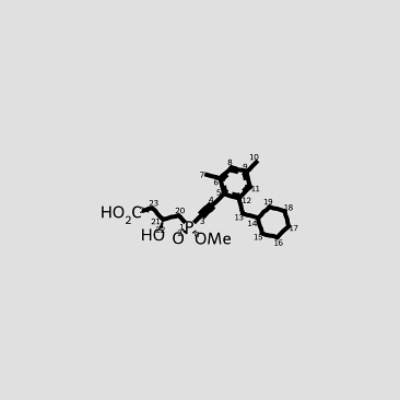 COP(=O)(C#Cc1c(C)cc(C)cc1CC1CCCCC1)C[C@@H](O)CC(=O)O